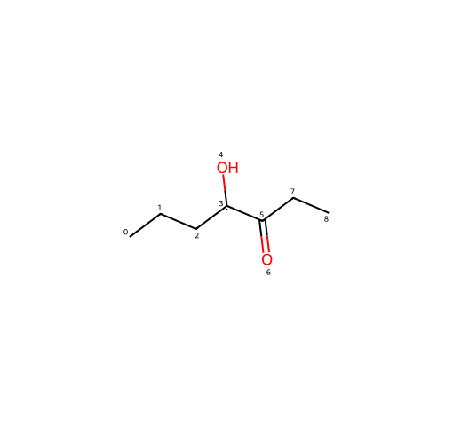 CCC[C](O)C(=O)CC